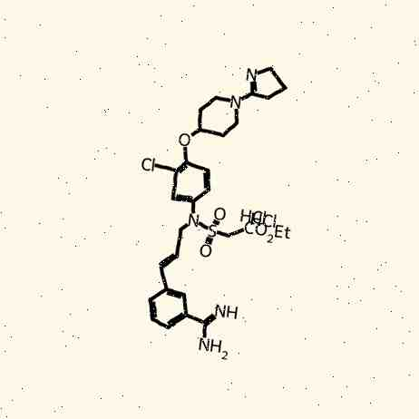 CCOC(=O)CS(=O)(=O)N(C/C=C/c1cccc(C(=N)N)c1)c1ccc(OC2CCN(C3=NCCC3)CC2)c(Cl)c1.Cl.Cl